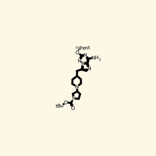 CCC[C@H](C)Oc1nc(N)c2ncc(CC3CCN(C4CCN(C(=O)OC(C)(C)C)C4)CC3)n2n1